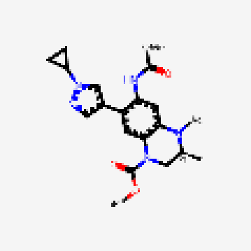 COC(=O)Nc1cc2c(cc1-c1cnn(C3CC3)c1)N(C(=O)OC(C)C)C[C@H](C)N2C(C)=O